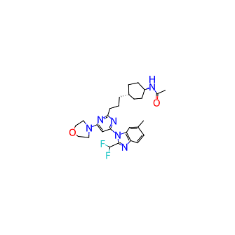 CC(=O)N[C@H]1CC[C@H](CCCc2nc(N3CCOCC3)cc(-n3c(C(F)F)nc4ccc(C)cc43)n2)CC1